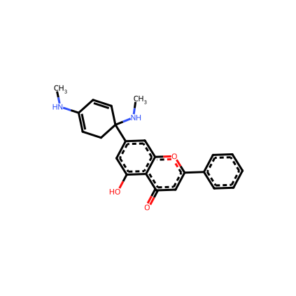 CNC1=CCC(NC)(c2cc(O)c3c(=O)cc(-c4ccccc4)oc3c2)C=C1